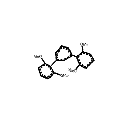 COc1cccc(OC)c1-c1cccc(-c2c(OC)cccc2OC)c1